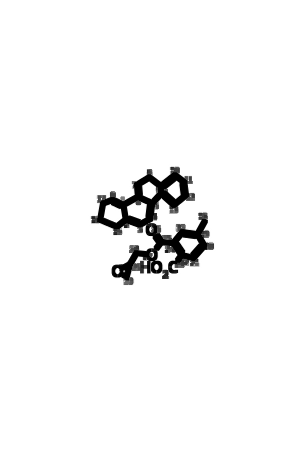 C1=c2c(ccc3c2=CCc2ccccc2-3)CCC1.Cc1ccc(C(=O)O)c(C(=O)OCC2CO2)c1